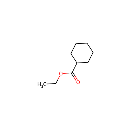 CCOC(=O)[C]1CCCCC1